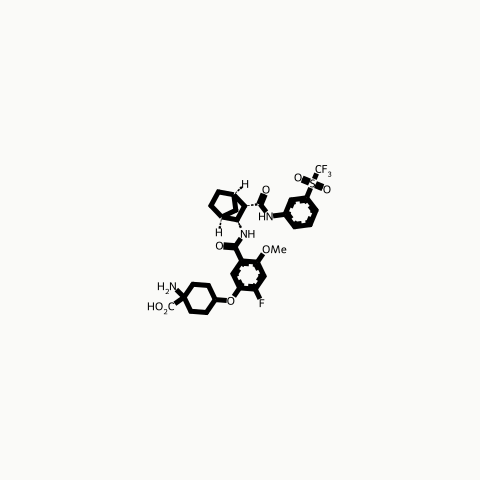 COc1cc(F)c(OC2CCC(N)(C(=O)O)CC2)cc1C(=O)N[C@@H]1[C@H]2CC[C@H](C2)[C@@H]1C(=O)Nc1cccc(S(=O)(=O)C(F)(F)F)c1